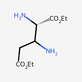 CCOC(=O)CC(N)[C@H](N)C(=O)OCC